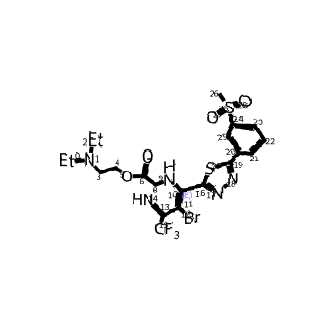 CCN(CC)CCOC(=O)CN/C(=C(/Br)C(=N)C(F)(F)F)c1nnc(-c2cccc(S(C)(=O)=O)c2)s1